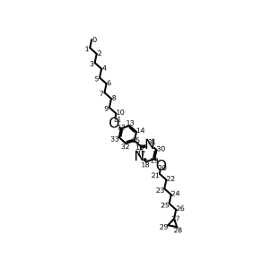 CCCCCCCCCCCOc1ccc(-c2ncc(OCCCCCCC3CC3)cn2)cc1